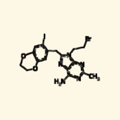 Cc1nc(N)c2nc(Cc3cc4c(cc3I)OCCO4)n(CCBr)c2n1